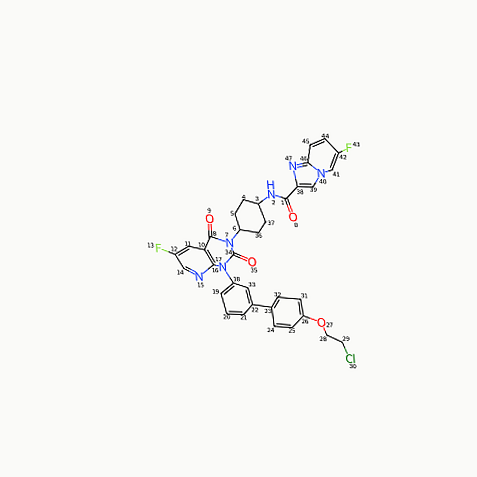 O=C(NC1CCC(n2c(=O)c3cc(F)cnc3n(-c3cccc(-c4ccc(OCCCl)cc4)c3)c2=O)CC1)c1cn2cc(F)ccc2n1